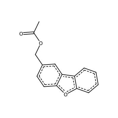 CC(=O)OCc1ccc2oc3ccccc3c2c1